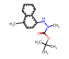 Cc1ccc(NN(C)C(=O)OC(C)(C)C)c2ccccc12